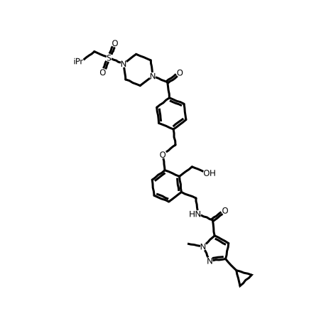 CC(C)CS(=O)(=O)N1CCN(C(=O)c2ccc(COc3cccc(CNC(=O)c4cc(C5CC5)nn4C)c3CO)cc2)CC1